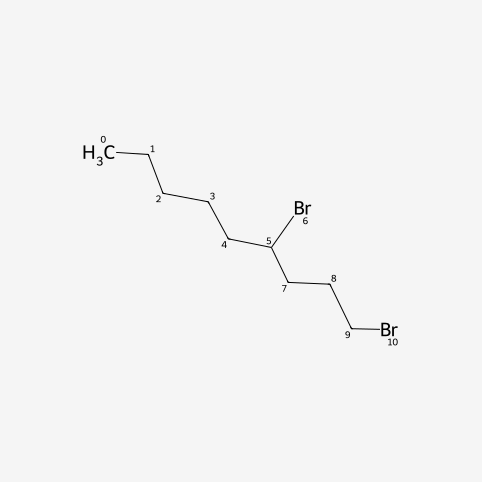 CCCCCC(Br)CCCBr